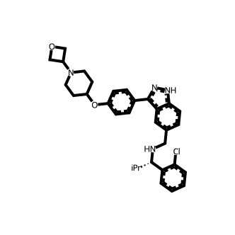 CC(C)[C@H](NCc1ccc2[nH]nc(-c3ccc(OC4CCN(C5COC5)CC4)cc3)c2c1)c1ccccc1Cl